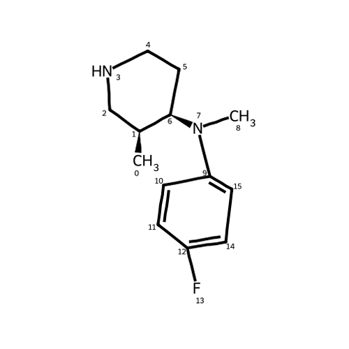 C[C@H]1CNCC[C@H]1N(C)c1ccc(F)cc1